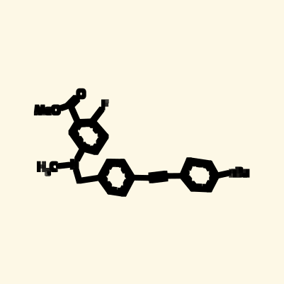 CCCCc1ccc(C#Cc2ccc(CN(C)c3ccc(F)c(C(=O)OC)c3)cc2)cc1